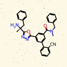 CN(Cc1ccccc1)C(=O)c1cc(-c2nnc([C@](C)(N)Cc3ccccc3)o2)cc(-c2ccccc2C#N)c1